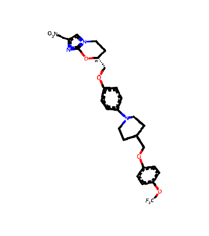 O=[N+]([O-])c1cn2c(n1)O[C@@H](COc1ccc(N3CCC(COc4ccc(OC(F)(F)F)cc4)CC3)cc1)CC2